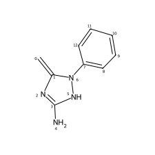 C=C1N=C(N)NN1c1ccccc1